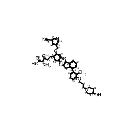 Cc1c(OCCCN2CCC(O)CC2)cccc1-c1cccc2c1CCC2Oc1cc(OCc2cncc(C#N)c2)c(CC[C@@H](O)[C@H](N)C(=O)O)cc1Cl